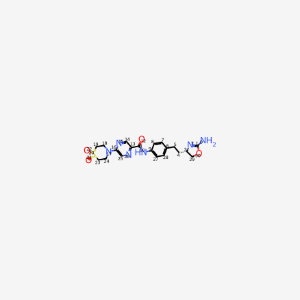 NC1=N[C@@H](CCc2ccc(NC(=O)c3cnc(N4CCS(=O)(=O)CC4)cn3)cc2)CO1